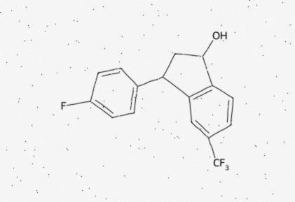 OC1CC(c2ccc(F)cc2)c2cc(C(F)(F)F)ccc21